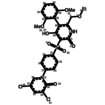 CCOCc1[nH]c(=O)c(S(=O)(=O)c2ccc(-n3cc(Cl)cc(Cl)c3=O)cc2)c(O)c1-c1c(OC)cccc1OC